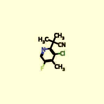 Cc1c(F)cnc(C(C)(C)C#N)c1Cl